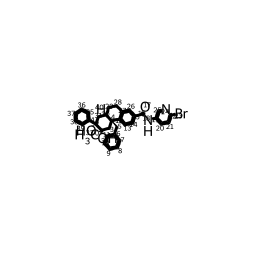 C[C@@]1(O)C[C@@]2(Cc3ccccc3)c3ccc(C(=O)Nc4ccc(Br)nc4)cc3CC[C@@H]2C[C@@]1(O)c1ccccc1